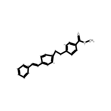 COC(=O)c1ccc(CCc2ccc(C=Cc3ccccc3)cc2)cc1